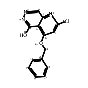 Oc1nncc2nc(Cl)cc(OCc3ccccc3)c12